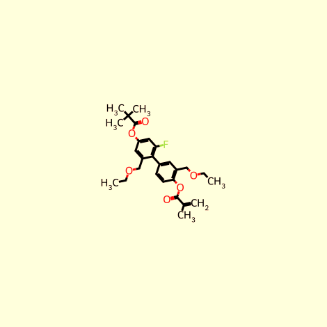 C=C(C)C(=O)Oc1ccc(-c2c(F)cc(OC(=O)C(C)(C)C)cc2COCC)cc1COCC